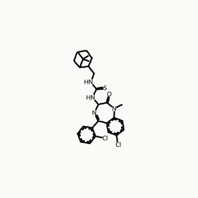 CN1C(=O)C(NC(=S)NCC2CCC3CC2C3(C)C)N=C(c2ccccc2Cl)c2cc(Cl)ccc21